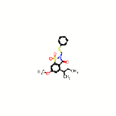 CCC(C)c1cc(OC)cc2c1C(=O)N(CSc1ccccc1)S2(=O)=O